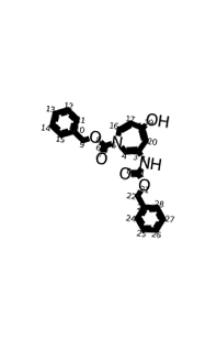 O=C(NC1=CN(C(=O)OCc2ccccc2)C=CC(O)=C1)OCc1ccccc1